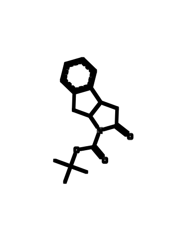 CC(C)(C)OC(=O)N1C(=O)CC2c3ccccc3CC21